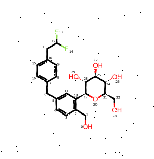 OCc1ccc(Cc2ccc(CC(F)F)cc2)cc1[C@@H]1O[C@H](CO)[C@@H](O)[C@H](O)[C@H]1O